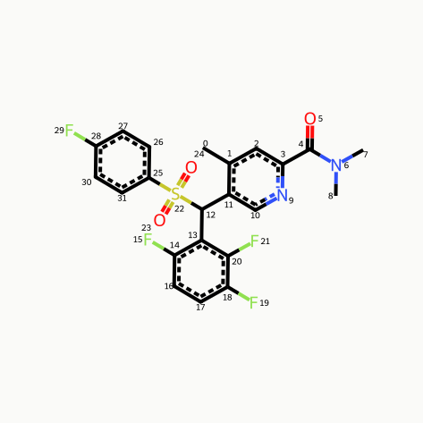 Cc1cc(C(=O)N(C)C)ncc1C(c1c(F)ccc(F)c1F)S(=O)(=O)c1ccc(F)cc1